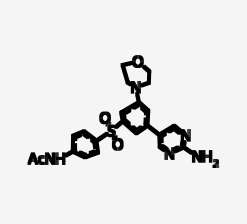 CC(=O)Nc1ccc(S(=O)(=O)c2cc(-c3cnc(N)nc3)cc(N3CCOCC3)c2)cc1